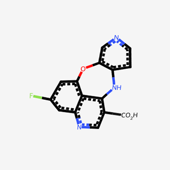 O=C(O)c1cnc2cc(F)cc3c2c1Nc1ccncc1O3